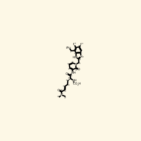 CC(C)Cc1c(F)c(F)cc2nc(Cn3cccc(NC(=O)[C@H](CC/C=C/C(=O)N(C)C)NC(=O)O)c3=O)[nH]c12